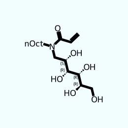 C=CC(=O)N(CCCCCCCC)C[C@H](O)[C@@H](O)[C@H](O)[C@H](O)CO